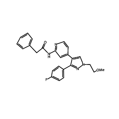 COCCn1cc(-c2ccnc(NC(=O)Cc3ccccc3)c2)c(-c2ccc(F)cc2)n1